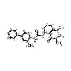 Cc1cc(-c2cccnc2)cnc1NC(=O)CN1CCCC(C=O)=C1C(=O)N(C)C